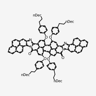 CCCCCCCCCCCCc1ccc(Oc2cc3c(=O)n4c5cc6ccc7cccc8ccc(c5nc4c4cc(Oc5ccc(CCCCCCCCCCCC)cc5)c5c9c(Oc%10ccc(CCCCCCCCCCCC)cc%10)cc%10c%11c(cc(Oc%12ccc(CCCCCCCCCCCC)cc%12)c(c2c5c34)c9%11)c(=O)n2c%10nc3cc4ccc5cccc9ccc(c4c59)c32)c6c78)cc1